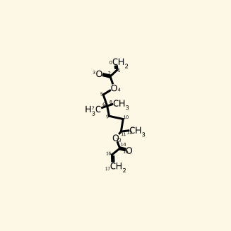 C=CC(=O)OCC(C)(C)CCC(C)OC(=O)C=C